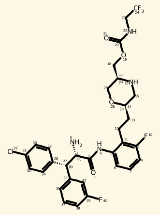 N[C@H](C(=O)Nc1cccc(F)c1CC[C@@H]1CN[C@H](COC(=O)NCC(F)(F)F)CO1)[C@@H](c1ccc(Cl)cc1)c1cccc(F)c1